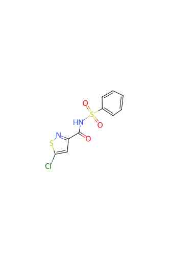 O=C(NS(=O)(=O)c1ccccc1)c1cc(Cl)sn1